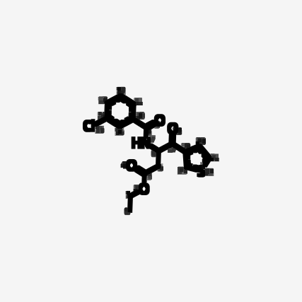 CCOC(=O)CC(NC(=O)c1cccc(Cl)c1)C(=O)c1ccsc1